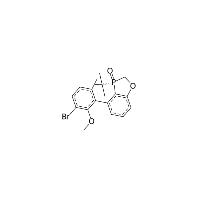 COc1c(Br)ccc(C)c1-c1cccc2c1[P@](=O)(C(C)(C)C)CO2